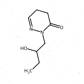 CCC(O)CN1N=CCCC1=O